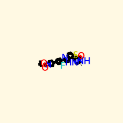 C[C@@H]1CNc2c(sc3ccc4nc(-c5ccc(C6CCN(C(=O)OC(C)(C)C)CC6)cc5F)ccc4c23)C(=O)N1